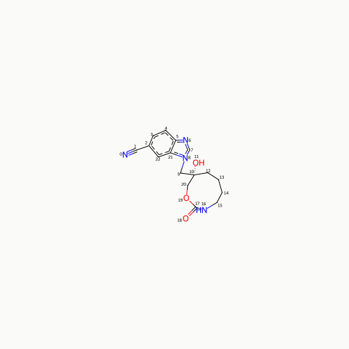 N#Cc1ccc2ncn(C[C@@]3(O)CCCCNC(=O)OC3)c2c1